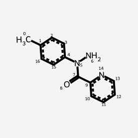 Cc1ccc(N(N)C(=O)c2ccccn2)cc1